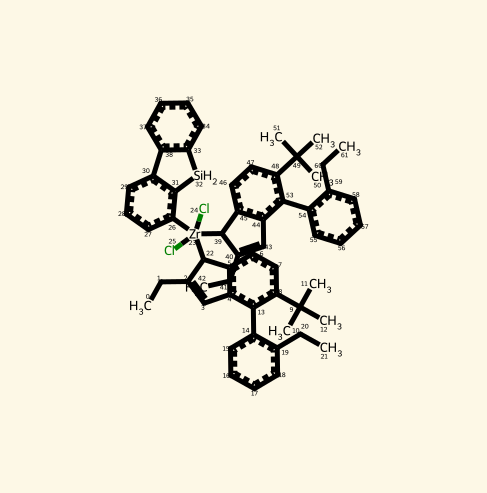 CCC1=Cc2c(ccc(C(C)(C)C)c2-c2ccccc2CC)[CH]1[Zr]([Cl])([Cl])([c]1cccc2c1[SiH2]c1ccccc1-2)[CH]1C(CC)=Cc2c1ccc(C(C)(C)C)c2-c1ccccc1CC